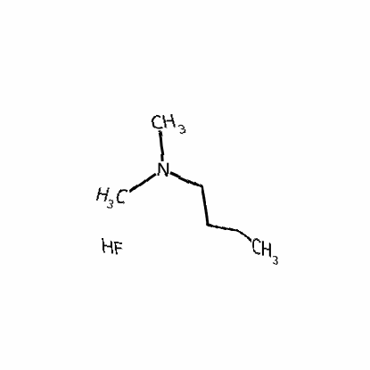 CCCN(C)C.F